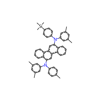 Cc1ccc(N(c2cc(C)cc(C)c2)c2cc3c4ccccc4c(N(c4ccc([Si](C)(C)C)cc4)c4cc(C)cc(C)c4)cc3c3ccccc23)cc1